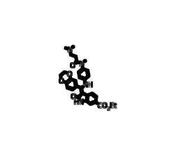 CCOC(=O)c1ccc2c(c1)NC(=O)C2=C(Nc1ccc(N(C)C(=O)CCN(C)C)cc1)c1ccc2c(c1)OCCO2